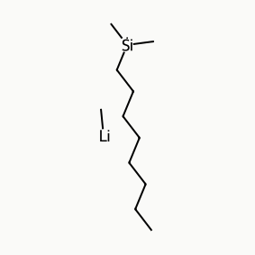 CCCCCCCC[Si](C)C.[Li][CH3]